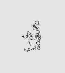 CCCOC(=O)[C@H]1CCCN1C1CCN(C(=O)[C@@H](Cc2cc(C)c3c(c2)oc(=O)n3C)OC(=O)N2CCC(N3CCc4ccccc4NC3=O)CC2)CC1